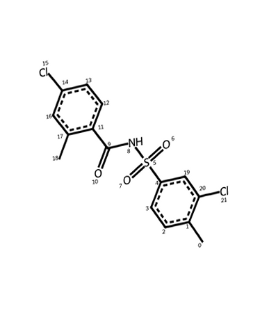 Cc1ccc(S(=O)(=O)NC(=O)c2ccc(Cl)cc2C)cc1Cl